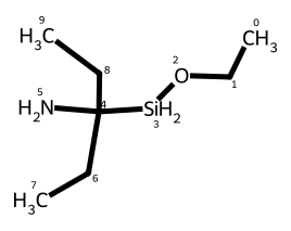 CCO[SiH2]C(N)(CC)CC